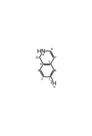 [2H]c1ccc2c(c1)C=CNC2